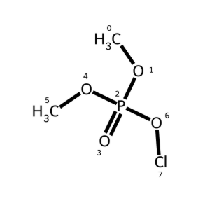 COP(=O)(OC)OCl